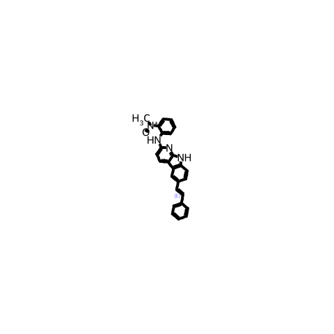 C[N+](=O)c1ccccc1Nc1ccc2c(n1)[nH]c1ccc(/C=C/c3ccccc3)cc12